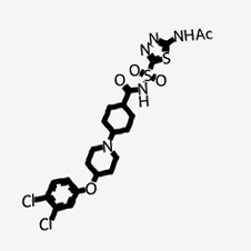 CC(=O)Nc1nnc(S(=O)(=O)NC(=O)C2CCC(N3CCC(Oc4ccc(Cl)c(Cl)c4)CC3)CC2)s1